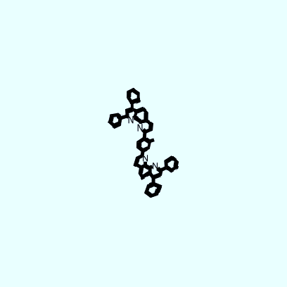 Cc1cc(-c2ccc3ccc4c(-c5ccccc5)cc(-c5ccccc5)nc4c3n2)ccc1-c1ccc2ccc3c(-c4ccccc4)cc(-c4ccccc4)nc3c2n1